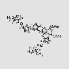 COc1cc(OC)cc(N(Cc2nccn2COCCS(C)(C)C)c2ccc3ncc(-c4cnn(COCCS(C)(C)C)c4)nc3n2)c1